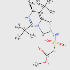 COC(=O)CS(=O)(=O)N[C@H]1CC2=C(C(C)(C)C)[C@H](C)N=C(C(C)(C)C)N2C1